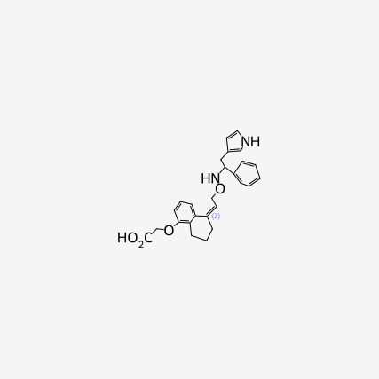 O=C(O)COc1cccc2c1CCC/C2=C/CONC(Cc1cc[nH]c1)c1ccccc1